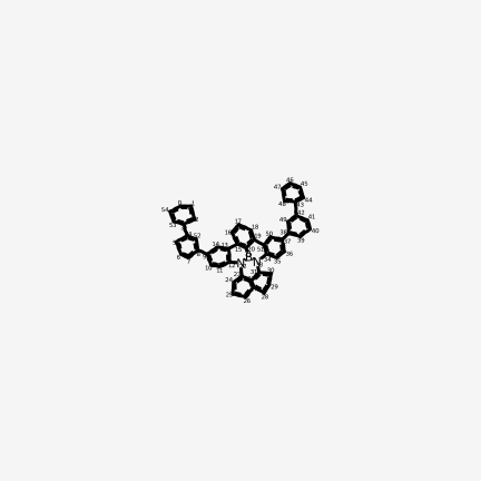 c1ccc(-c2cccc(-c3ccc4c(c3)-c3cccc5c3B3N4c4cccc6cccc(c46)N3c3ccc(-c4cccc(-c6ccccc6)c4)cc3-5)c2)cc1